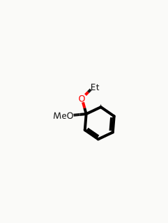 CCOC1(OC)[CH]C=CC=C1